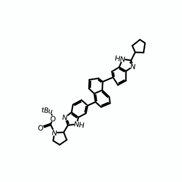 CC(C)(C)OC(=O)N1CCCC1c1nc2ccc(-c3cccc4c(-c5ccc6nc(C7CCCC7)[nH]c6c5)cccc34)cc2[nH]1